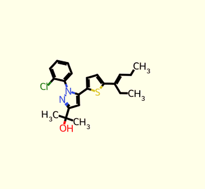 CC/C=C(\CC)c1ccc(-c2cc(C(C)(C)O)nn2-c2ccccc2Cl)s1